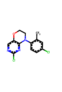 FC(F)(F)c1cc(Cl)ccc1N1CCOc2cnc(Cl)nc21